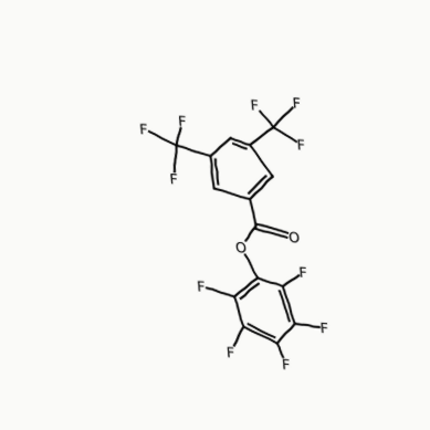 O=C(Oc1c(F)c(F)c(F)c(F)c1F)c1cc(C(F)(F)F)cc(C(F)(F)F)c1